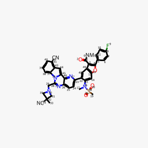 CNC(=O)c1c(-c2ccc(F)cc2)oc2cc(N(C)S(C)(=O)=O)c(-c3ccc4nc(CN5CC(C)(C#N)C5)n5c6cccc(C#N)c6cc5c4n3)cc12